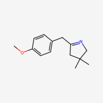 COc1ccc(CC2=NCC(C)(C)C2)cc1